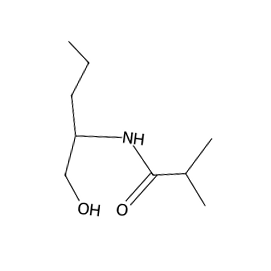 CCCC(CO)NC(=O)C(C)C